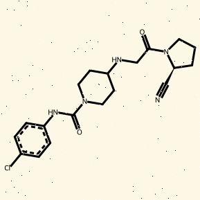 N#C[C@@H]1CCCN1C(=O)CNC1CCN(C(=O)Nc2ccc(Cl)cc2)CC1